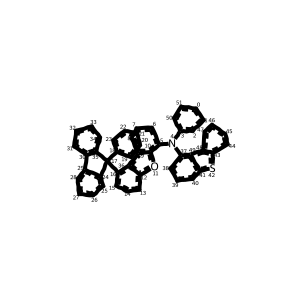 c1ccc(N(c2cccc3c2oc2cccc(C4(c5ccccc5)c5ccccc5-c5ccccc54)c23)c2cccc3sc4ccccc4c23)cc1